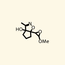 COC1OC1C12CCCC1(O)C(C)=NO2